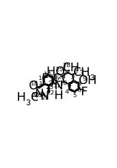 CC1c2c(ccc(F)c2O)C(Nc2cccc3c(=O)n(C)ncc23)C(O)(C(F)(F)F)C1C